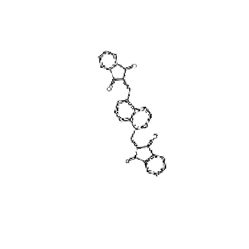 O=C1C(=Cc2cccc3c(C=C4C(=O)c5ccccc5C4=O)cccc23)C(=O)c2ccccc21